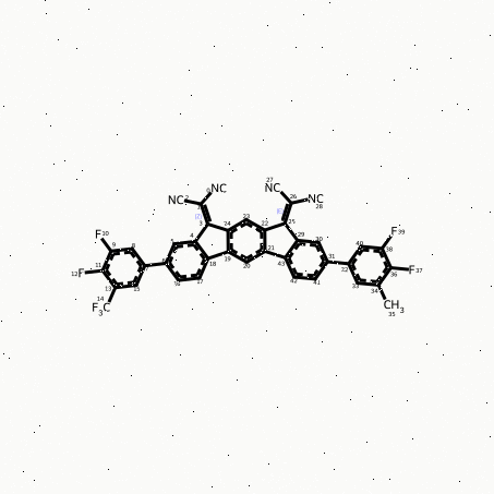 [C-]#[N+]/C(C#N)=C1/c2cc(-c3cc(F)c(F)c(C(F)(F)F)c3)ccc2-c2cc3c(cc21)/C(=C(\C#N)[N+]#[C-])c1cc(-c2cc(C)c(F)c(F)c2)ccc1-3